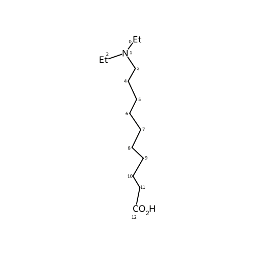 CCN(CC)CCCCCCCCCC(=O)O